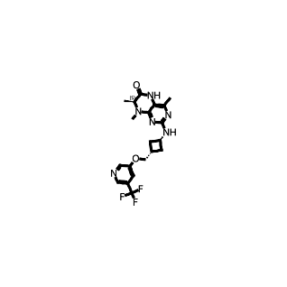 Cc1nc(N[C@H]2C[C@@H](COc3cncc(C(F)(F)F)c3)C2)nc2c1NC(=O)[C@H](C)N2C